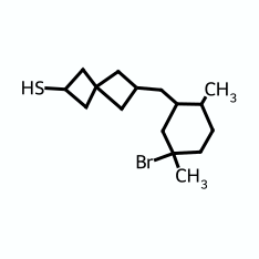 CC1CCC(C)(Br)CC1CC1CC2(CC(S)C2)C1